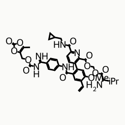 C=Cc1cc(C(=O)Nc2ccc(C(=N)NC(=O)OCc3oc(=O)oc3C)cc2)c(-c2ccc(C(=O)NCC3CC3)nc2C(=O)OCOC(=O)C(N)C(C)C)cc1OC